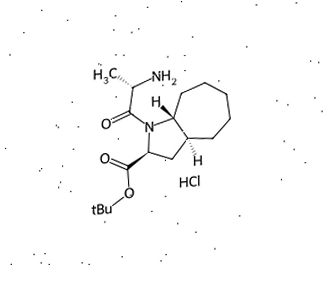 C[C@H](N)C(=O)N1[C@@H]2CCCCC[C@H]2C[C@H]1C(=O)OC(C)(C)C.Cl